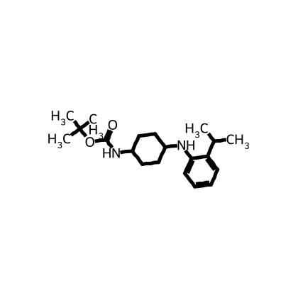 CC(C)c1ccccc1NC1CCC(NC(=O)OC(C)(C)C)CC1